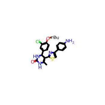 CCCCOc1ccc(C2NC(=O)NC(C)=C2c2nc(-c3ccc(N)cc3)cs2)cc1Cl